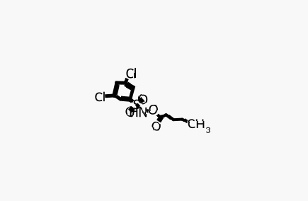 CCCCC(=O)ONS(=O)(=O)c1cc(Cl)cc(Cl)c1